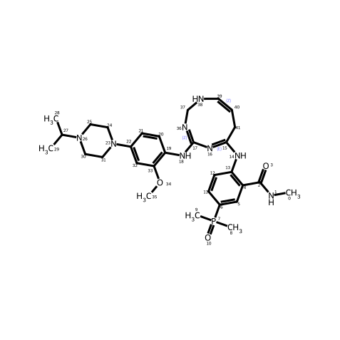 CNC(=O)c1cc(P(C)(C)=O)ccc1N/C1=N/C(Nc2ccc(N3CCN(C(C)C)CC3)cc2OC)=N\CN/C=C\C1